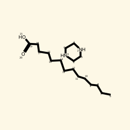 C1CNCCN1.CCCCCCCCCCCCCC(=O)O